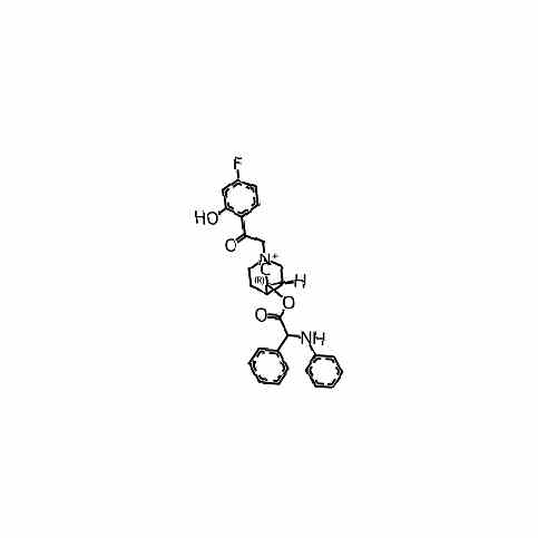 O=C(C[N+]12CCC(CC1)[C@@H](OC(=O)C(Nc1ccccc1)c1ccccc1)C2)c1ccc(F)cc1O